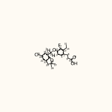 [2H]C([2H])(Oc1ccc(CCC(=O)O)c(CC)c1F)c1cc(Cl)cc2c1OC(C)(C)C2